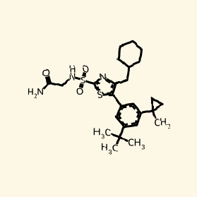 CC(C)(C)c1cc(-c2sc(S(=O)(=O)NCC(N)=O)nc2CC2CCCCC2)cc(C2(C)CC2)c1